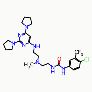 CN(CCNC(=O)Nc1ccc(Cl)c(C(F)(F)F)c1)CCNc1cc(N2CCCC2)nc(N2CCCC2)n1